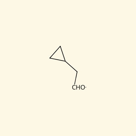 O=[C]CC1CC1